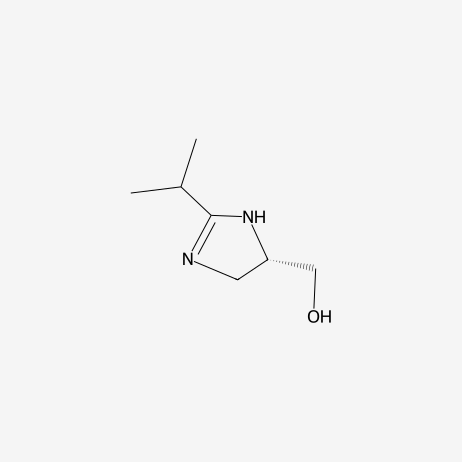 CC(C)C1=NC[C@@H](CO)N1